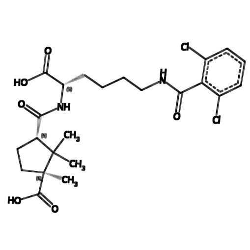 CC1(C)[C@@H](C(=O)N[C@@H](CCCCNC(=O)c2c(Cl)cccc2Cl)C(=O)O)CC[C@]1(C)C(=O)O